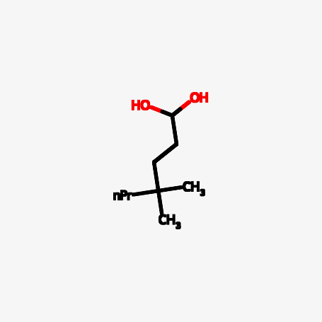 CCCC(C)(C)CCC(O)O